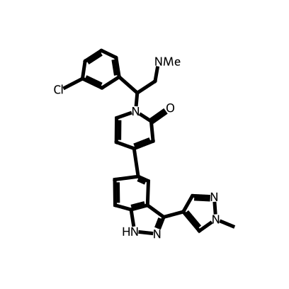 CNCC(c1cccc(Cl)c1)n1ccc(-c2ccc3[nH]nc(-c4cnn(C)c4)c3c2)cc1=O